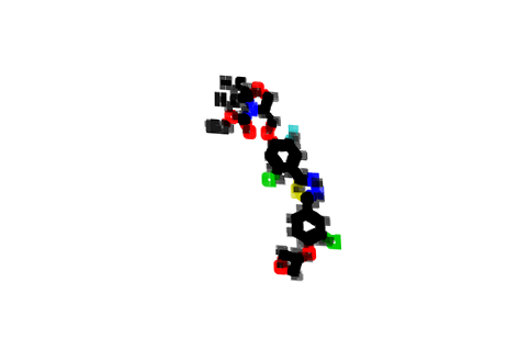 CC(C)(C)OC(=O)N1[C@@H](COc2cc(Cl)c(-c3nnc(-c4ccc(OC5COC5)c(Cl)c4)s3)cc2F)COC1(C)C